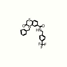 O=C(NCc1ccc(C(F)(F)F)cc1)c1ccc2c(c1)N(Cc1ccccc1)C(=O)CS2